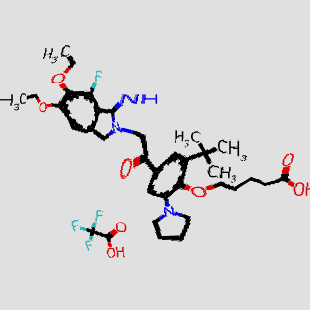 CCOc1cc2c(c(F)c1OCC)C(=N)N(CC(=O)c1cc(N3CCCC3)c(OCCCCC(=O)O)c(C(C)(C)C)c1)C2.O=C(O)C(F)(F)F